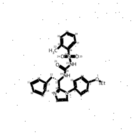 CCOc1ccc(-n2ccnc2[C@H](Cc2ccccc2)NC(=O)NS(=O)(=O)c2ccccc2C)cc1